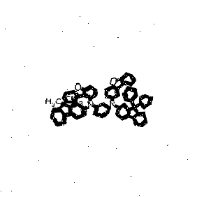 CC1(C)c2ccccc2-c2ccc(N(c3cccc(N(c4ccc5c(c4)C(c4ccccc4)(c4ccccc4)c4ccccc4-5)c4ccc5oc6ccccc6c5c4)c3)c3cccc4oc5ccccc5c34)cc21